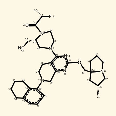 C[C@H](F)C(=O)N1CCN(c2nc(OC[C@@]34CCCN3C[C@H](F)C4)nc3c2CCN(c2cccc4c2CCCC4)C3)C[C@@H]1CC#N